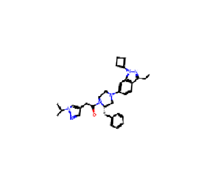 CCc1nn(C2CCC2)c2cc(N3CCN(C(=O)Cc4cnn(C(C)C)c4)[C@@H](Cc4ccccc4)C3)ccc12